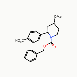 COC1CCN(C(=O)OCc2ccccc2)C(c2ccc(C(=O)O)cc2)C1